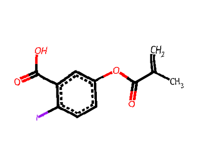 C=C(C)C(=O)Oc1ccc(I)c(C(=O)O)c1